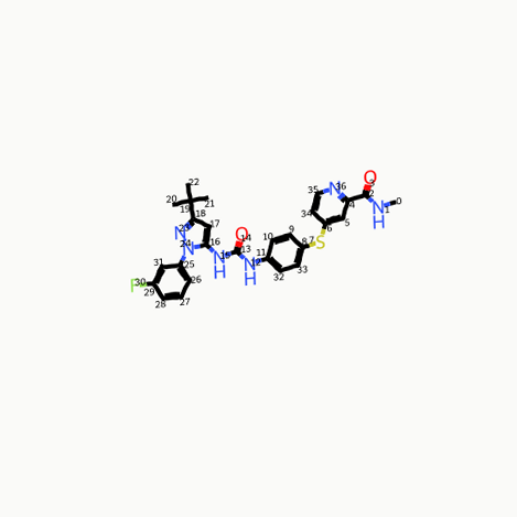 CNC(=O)c1cc(Sc2ccc(NC(=O)Nc3cc(C(C)(C)C)nn3-c3cccc(F)c3)cc2)ccn1